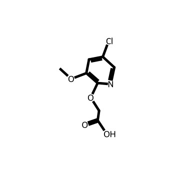 COc1cc(Cl)cnc1OCC(=O)O